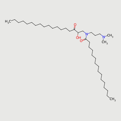 CCCCCCCCCCCCCCCC(=O)C(O)CN(CCCN(C)C)C(=O)CCCCCCCCCCCCCCC